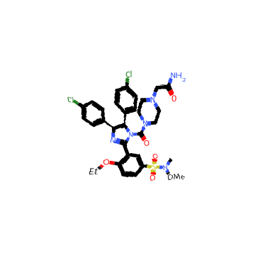 CCOc1ccc(S(=O)(=O)N(C)OC)cc1C1=N[C@@H](c2ccc(Cl)cc2)[C@@H](c2ccc(Cl)cc2)N1C(=O)N1CCN(CC(N)=O)CC1